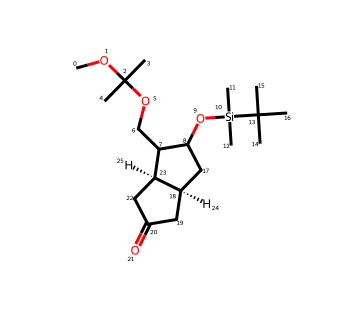 COC(C)(C)OCC1C(O[Si](C)(C)C(C)(C)C)C[C@H]2CC(=O)C[C@@H]12